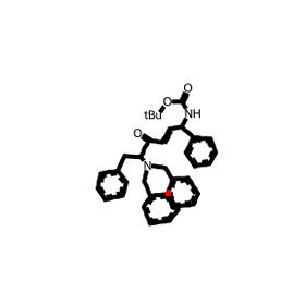 CC(C)(C)OC(=O)NC(C=CC(=O)C(Cc1ccccc1)N(Cc1ccccc1)Cc1ccccc1)c1ccccc1